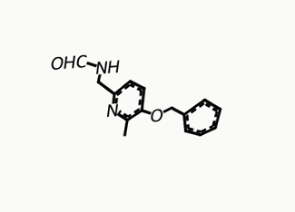 Cc1nc(CNC=O)ccc1OCc1ccccc1